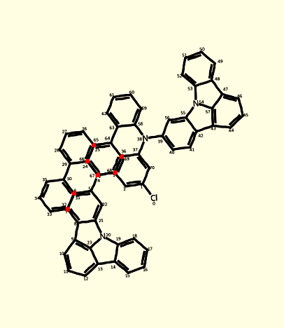 Clc1cc(N(c2ccc3c4cccc5c6ccccc6n(c3c2)c54)c2ccccc2-c2ccccc2)cc(N(c2ccc3c4cccc5c6ccccc6n(c3c2)c54)c2ccccc2-c2ccccc2)c1